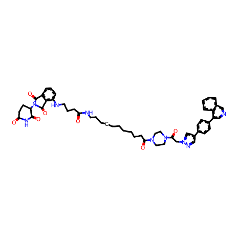 O=C(CCCNc1cccc2c1C(=O)N(C1CCC(=O)NC1=O)C2=O)NCCCCCCCCCCC(=O)N1CCN(C(=O)Cn2cc(-c3ccc(-c4cncc5ccccc45)cc3)cn2)CC1